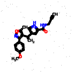 C#CCNC(=O)c1cc(C(=C)c2c(-c3ccc(OC)cc3)noc2C)c[nH]1